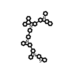 c1ccc(-n2c3ccc(-c4ccc5c(c4)c4c6ccccc6c6ccccc6c4n5-c4ccc(-c5ccc(-n6c7ccccc7c7cc(-c8ccc9c(c8)c8ccccc8n9-c8ccc9c(c8)sc8ccccc89)ccc76)cc5)cc4)cc3c3cc4ccccc4cc32)cc1